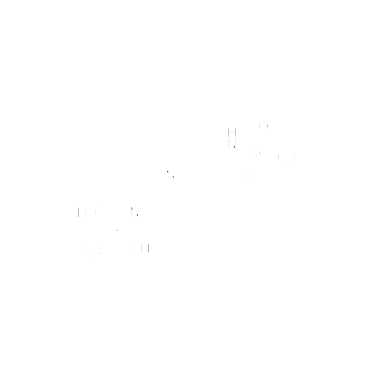 CC(C)(C)N1CCN(CCNS(C)(=O)=O)CC1